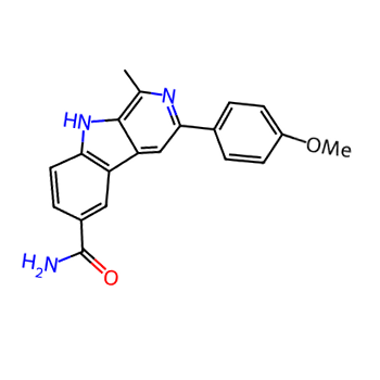 COc1ccc(-c2cc3c([nH]c4ccc(C(N)=O)cc43)c(C)n2)cc1